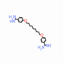 N=C(N)c1ccc(OCCCCCCCCCOc2ccc(C(=N)N)cc2)cc1